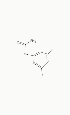 Cc1cc(C)cc(OC(=O)P)c1